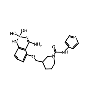 NC1=NS(O)(O)Nc2cccc(OCC3CCCN(C(=O)Nc4ccncc4)C3)c21